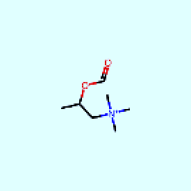 CC(C[N+](C)(C)C)OC=O